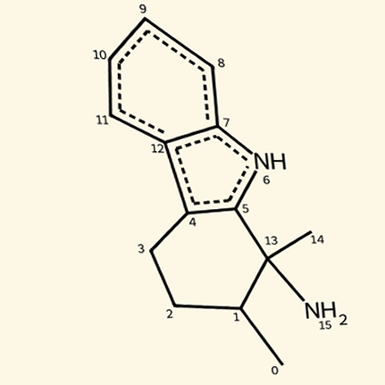 CC1CCc2c([nH]c3ccccc23)C1(C)N